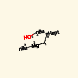 CCCCCCC[CH2][Mg][CH2]CCC.CCCCO